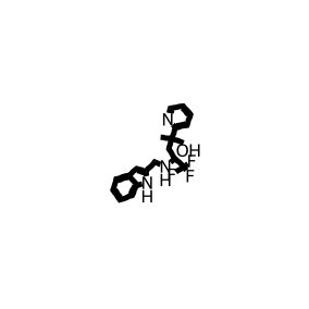 CC(C)(CC(O)(NCc1cc2ccccc2[nH]1)C(F)(F)F)c1ccccn1